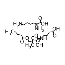 CCCCC(=O)OCC(C)(C)C(O)C(=O)NCCCC(=O)O.NCCCC[C@H](N)C(=O)O